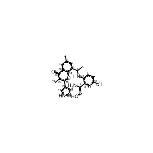 Cc1cc(C(C)Nc2ccc(Cl)nc2C(N)=NO)c2oc(-c3cn[nH]c3)c(C)c(=O)c2c1